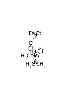 CCN(CC)CCCOc1ccc(C(C)N(CCN(C)C)S(=O)(=O)c2ccccc2)cc1